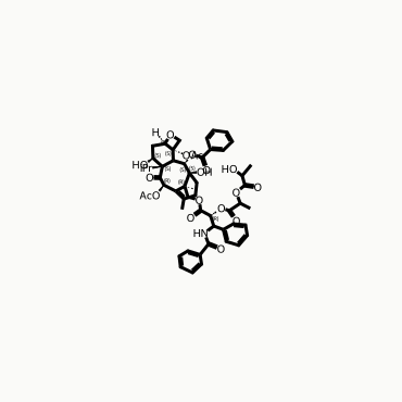 CC(=O)O[C@H]1C(=O)[C@@]2(C(C)C)C([C@H](OC(=O)c3ccccc3)[C@]3(O)CCC(C)=C1[C@]3(C)COC(=O)[C@H](OC(=O)C(C)OC(=O)C(C)O)C(NC(=O)c1ccccc1)c1ccccc1)[C@]1(OC(C)=O)CO[C@@H]1C[C@@H]2O